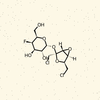 OC[C@H]1O[C@H](O[C@]2(CCl)O[C@H](CCl)[C@@H]3O[C@H]32)[C@H](O)[C@@H](O)[C@H]1F